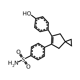 NS(=O)(=O)c1ccc(C2=C(c3ccc(O)cc3)CC3(CC3)C2)cc1